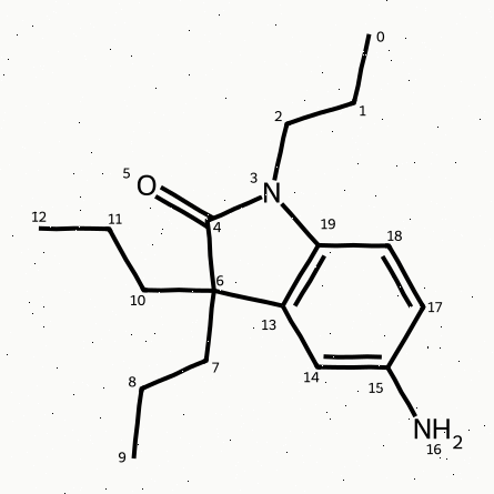 CCCN1C(=O)C(CCC)(CCC)c2cc(N)ccc21